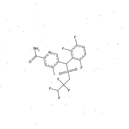 Cc1cc(C(N)=O)ncc1C(c1c(F)ccc(F)c1F)S(=O)(=O)CC(F)(F)C(F)F